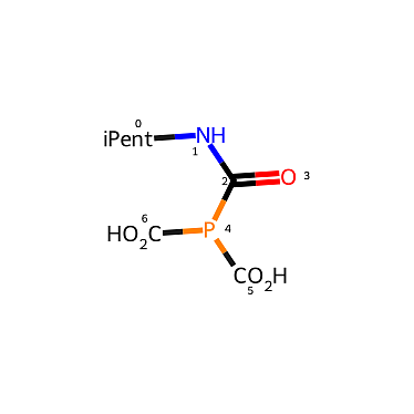 CCCC(C)NC(=O)P(C(=O)O)C(=O)O